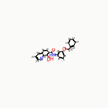 O=C(Nc1cccc(OCc2ccccc2)c1)c1ccc2cccnc2c1O